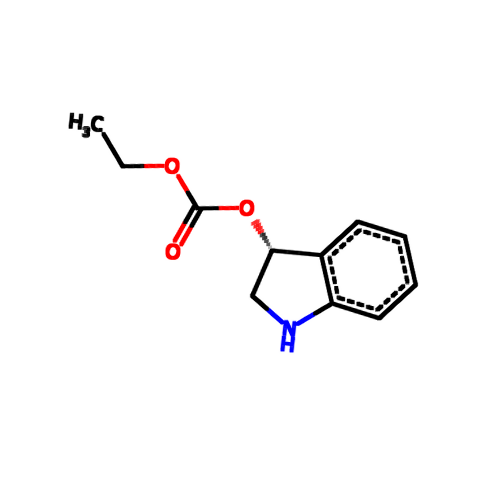 CCOC(=O)O[C@H]1CNc2ccccc21